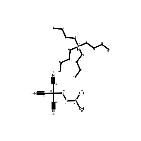 CCCC[PH](CCCC)(CCCC)CCCC.N#CC(C#N)(C#N)OOB(O)O